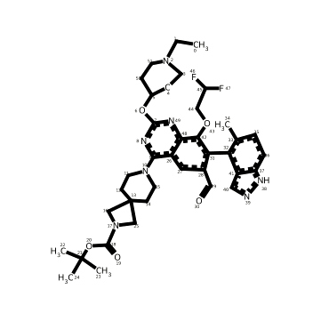 CCN1CCC(Oc2nc(N3CCC4(CC3)CN(C(=O)OC(C)(C)C)C4)c3cc(C=O)c(-c4c(C)ccc5[nH]ncc45)c(OCC(F)F)c3n2)CC1